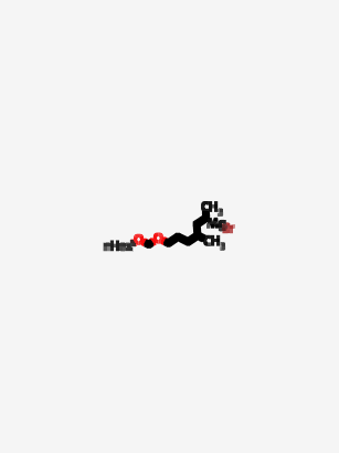 CCCCCCOCOCCCC(C)C[CH](C)[Mg][Br]